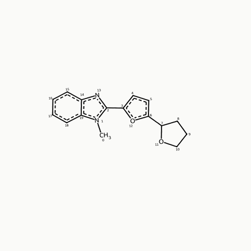 Cn1c(-c2ccc(C3CCCO3)o2)nc2ccccc21